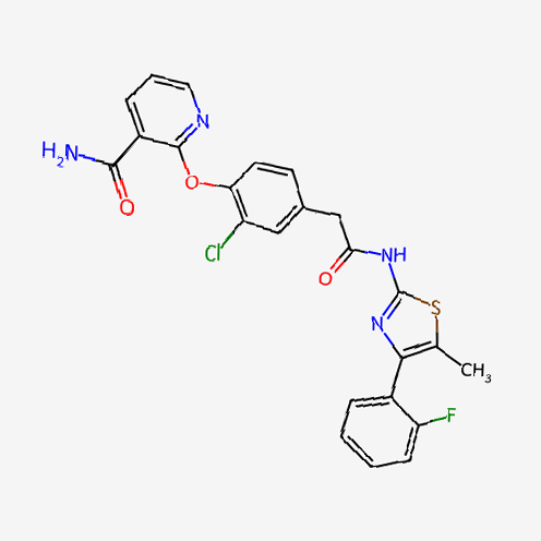 Cc1sc(NC(=O)Cc2ccc(Oc3ncccc3C(N)=O)c(Cl)c2)nc1-c1ccccc1F